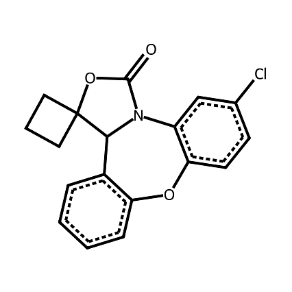 O=C1OC2(CCC2)C2c3ccccc3Oc3ccc(Cl)cc3N12